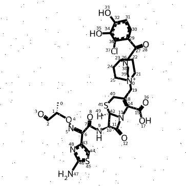 C[C@@H](C=O)O/N=C(\C(=O)N[C@@H]1C(=O)N2C(C(=O)O)=C(C[N+]34CCC(CC3)N(C(=O)c3ccc(O)c(O)c3Cl)CC4)CS[C@H]12)c1csc(N)n1